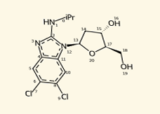 CC(C)Nc1nc2cc(Cl)c(Cl)cc2n1[C@H]1C[C@H](O)[C@@H](CO)O1